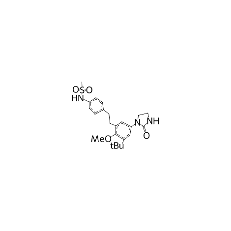 COc1c(CCc2ccc(NS(C)(=O)=O)cc2)cc(N2CCNC2=O)cc1C(C)(C)C